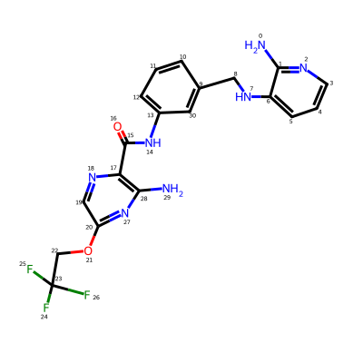 Nc1ncccc1NCc1cccc(NC(=O)c2ncc(OCC(F)(F)F)nc2N)c1